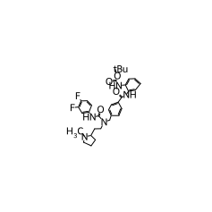 CN1CCCC1CCN(Cc1ccc(C(=O)Nc2ccccc2NC(=O)OC(C)(C)C)cc1)C(=O)Nc1ccc(F)c(F)c1